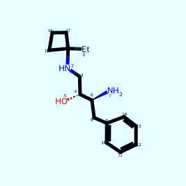 CCC1(NC[C@@H](O)[C@@H](N)Cc2ccccc2)CCC1